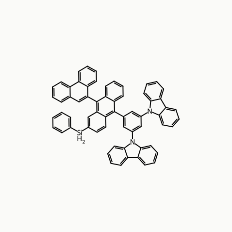 c1ccc([SiH2]c2ccc3c(-c4cc(-n5c6ccccc6c6ccccc65)cc(-n5c6ccccc6c6ccccc65)c4)c4ccccc4c(-c4cc5ccccc5c5ccccc45)c3c2)cc1